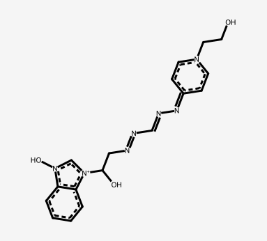 OCCn1ccc(=NN=CN=NCC(O)[n+]2cn(O)c3ccccc32)cc1